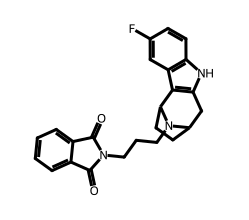 O=C1c2ccccc2C(=O)N1CCCN1C2CCC1c1c([nH]c3ccc(F)cc13)C2